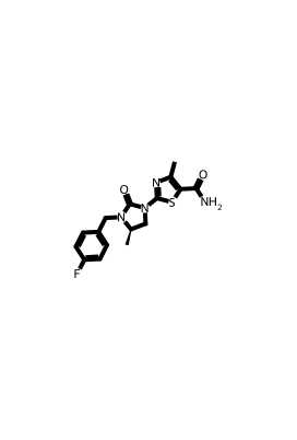 Cc1nc(N2C[C@@H](C)N(Cc3ccc(F)cc3)C2=O)sc1C(N)=O